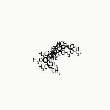 CCCC(C)(C)C1=CC(C)CC(C(C)(C)C)=C1OP1OCC2(CO1)COP(OC(C)/C(=C\C(C)=C/CC(C)(C)C)C(C)(C)C)OC2